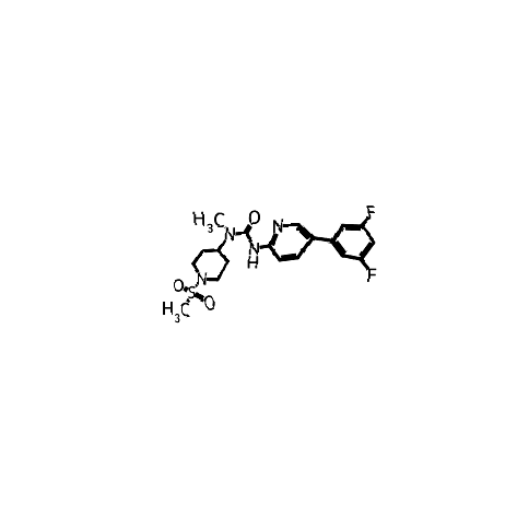 CN(C(=O)Nc1ccc(-c2cc(F)cc(F)c2)cn1)C1CCN(S(C)(=O)=O)CC1